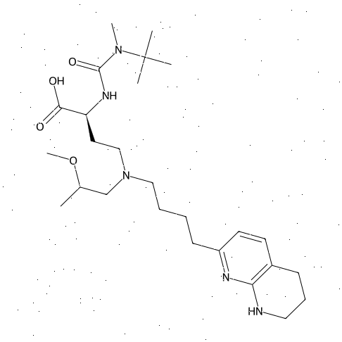 COC(C)CN(CCCCc1ccc2c(n1)NCCC2)CC[C@H](NC(=O)N(C)C(C)(C)C)C(=O)O